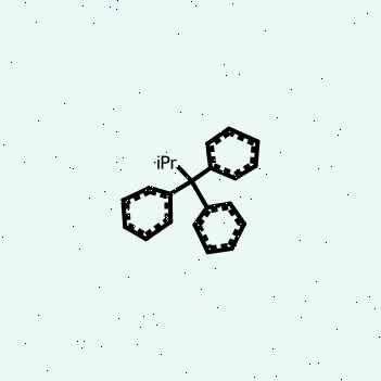 C[C](C)C(c1ccccc1)(c1ccccc1)c1ccccc1